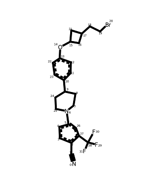 N#Cc1ccc(N2CCC(c3ccc(OC4CC(CCBr)C4)cc3)CC2)cc1C(F)(F)F